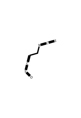 O=S=C=CCN=C=S